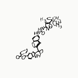 CC(C)(C)c1cc(NC(=O)Nc2ccc3oc(C(=O)c4cc5cc(OC(=O)Cl)ccc5[nH]4)cc3c2)no1